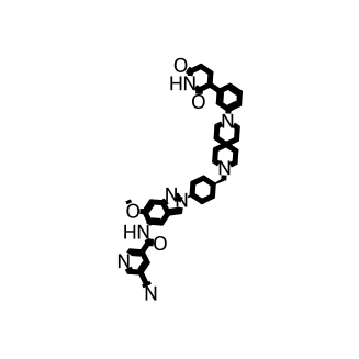 COc1cc2nn([C@H]3CC[C@H](CN4CCC5(CC4)CCN(c4cccc(C6CCC(=O)NC6=O)c4)CC5)CC3)cc2cc1NC(=O)c1cncc(C#N)c1